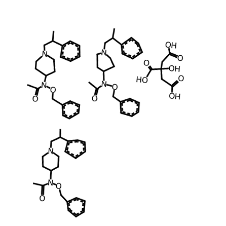 CC(=O)N(OCc1ccccc1)C1CCN(CC(C)c2ccccc2)CC1.CC(=O)N(OCc1ccccc1)C1CCN(CC(C)c2ccccc2)CC1.CC(=O)N(OCc1ccccc1)C1CCN(CC(C)c2ccccc2)CC1.O=C(O)CC(O)(CC(=O)O)C(=O)O